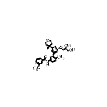 Cc1ccc(NC(=O)c2ccnc(C(F)(F)F)c2)cc1-c1cc(OCC(O)CO)nc(C23CCOCC2C3)c1